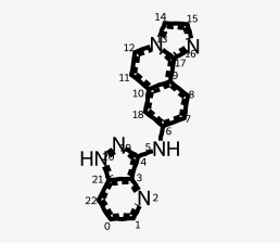 c1cnc2c(Nc3ccc4c(ccn5ccnc45)c3)n[nH]c2c1